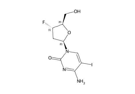 Nc1nc(=O)n([C@H]2C[C@H](F)[C@@H](CO)O2)cc1I